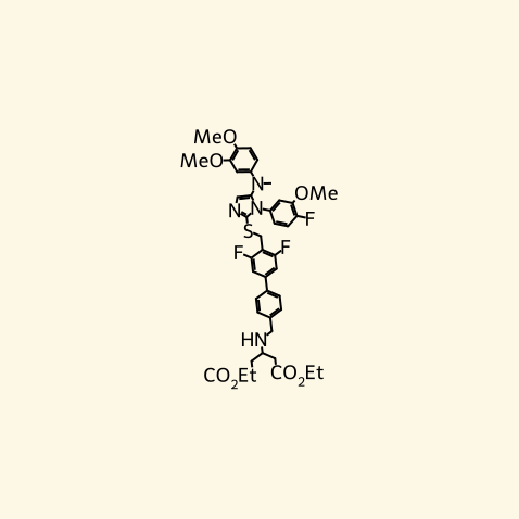 CCOC(=O)CC(CC(=O)OCC)NCc1ccc(-c2cc(F)c(CSc3ncc(N(C)c4ccc(OC)c(OC)c4)n3-c3ccc(F)c(OC)c3)c(F)c2)cc1